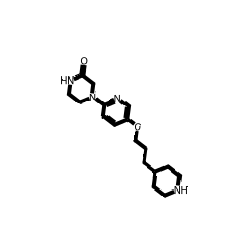 O=C1CN(c2ccc(OCCCC3CCNCC3)cn2)CCN1